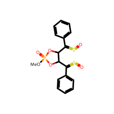 COP1(=O)OC(C(=S=O)c2ccccc2)C(C(=S=O)c2ccccc2)O1